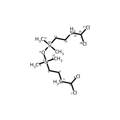 C[Si](C)(CC[SiH2]C(Cl)Cl)O[Si](C)(C)CC[SiH2]C(Cl)Cl